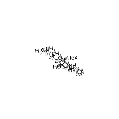 CCCCCCn1c(=O)c(OC/C=C(\C)CCC=C(C)C)c(O)c2ccc(NC(=O)/C=C/c3ccccc3)cc21